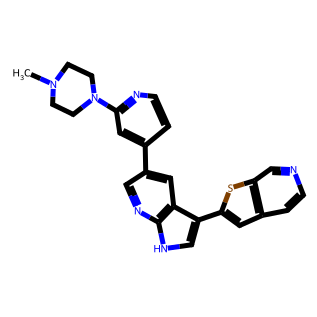 CN1CCN(c2cc(-c3cnc4[nH]cc(-c5cc6ccncc6s5)c4c3)ccn2)CC1